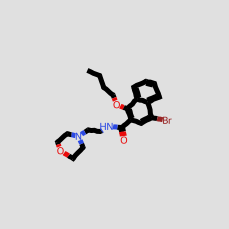 CCCCOc1c(C(=O)NCCN2CCOCC2)cc(Br)c2ccccc12